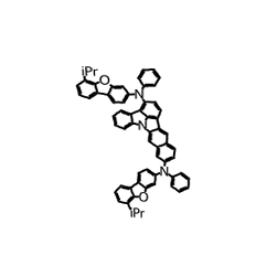 CC(C)c1cccc2c1oc1cc(N(c3ccccc3)c3ccc4cc5c6ccc(N(c7ccccc7)c7ccc8c(c7)oc7c(C(C)C)cccc78)c7c8ccccc8n(c5cc4c3)c67)ccc12